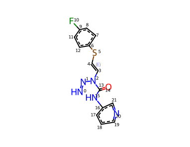 N=NN(/C=C/Sc1ccc(F)cc1)C(=O)Nc1cccnc1